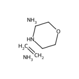 C1COCCN1.C=C.N.N